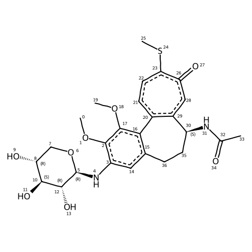 COc1c(N[C@@H]2OC[C@@H](O)[C@H](O)[C@H]2O)cc2c(c1OC)-c1ccc(SC)c(=O)cc1[C@@H](NC(C)=O)CC2